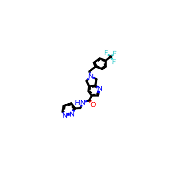 O=C(NCc1cccnn1)c1cnc2c(c1)CN(Cc1ccc(C(F)(F)F)cc1)C2